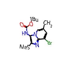 CSc1nc2c(Br)cc(C)cn2c1NC(=O)OC(C)(C)C